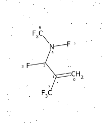 C=C(C(F)N(F)C(F)(F)F)C(F)(F)F